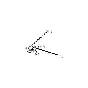 CCCCCCCCCCCCCC(CC)C(OC(C(O)CO)C(CC)CCCCCCCCCCCCC)C(O)CO